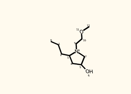 CCCC1CC(O)CN1CCOC